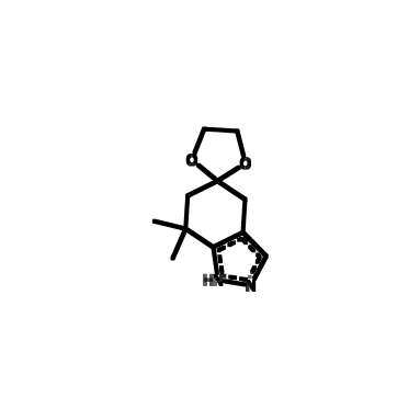 CC1(C)CC2(Cc3cn[nH]c31)OCCO2